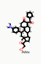 CNOCC(=O)C1CCC2C3CCC4=C(C(=O)c5ccccc5)C(=O)CCC4=C3C(c3ccc(N(C)C)cc3)CC12C